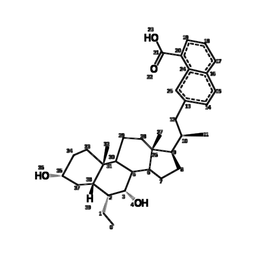 CC[C@H]1[C@@H](O)C2C3CC[C@H]([C@H](C)Cc4ccc5cccc(C(=O)O)c5c4)[C@@]3(C)CCC2[C@@]2(C)CC[C@@H](O)C[C@@H]12